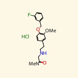 CNC(=O)CNCCc1ccc(OCc2cccc(F)c2)c(OC)c1.Cl